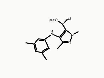 CC[C@H](OC)c1c(Nc2cc(C)cc(C)c2)c(C)nn1C